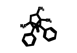 CC1CC2(C)C(=O)C1(C)C(c1ccccc1)=C2c1ccccc1